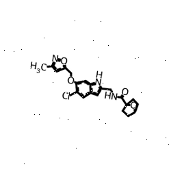 Cc1cc(COc2cc3[nH]c(CNC(=O)C45CCC(CC4)O5)cc3cc2Cl)on1